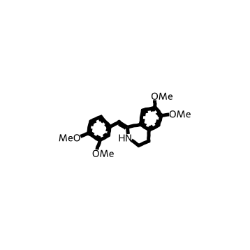 COc1ccc(/C=C2\NCCc3cc(OC)c(OC)cc32)cc1OC